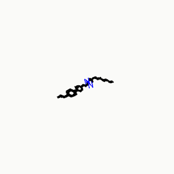 CCCCCCCc1cnc(CCC2CCC(C3CCC(CCC)CC3)CC2)nc1